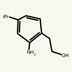 CC(C)c1ccc(CCO)c(N)c1